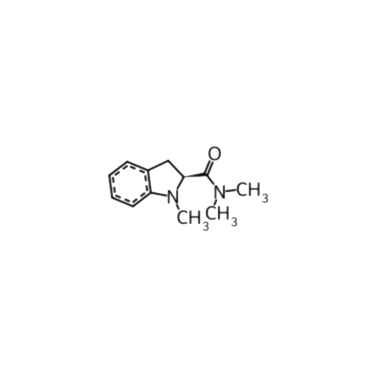 CN(C)C(=O)[C@@H]1Cc2ccccc2N1C